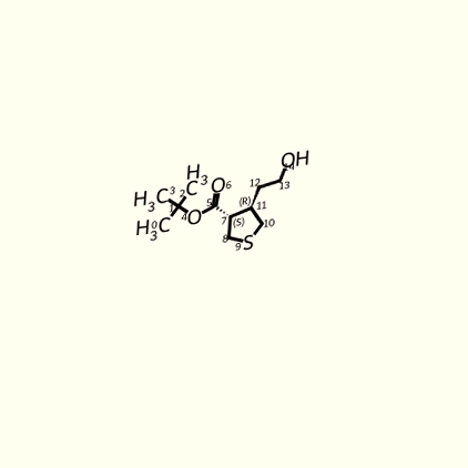 CC(C)(C)OC(=O)[C@H]1CSC[C@@H]1CCO